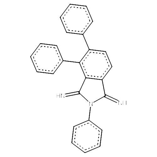 N=C1c2ccc(-c3ccccc3)c(-c3ccccc3)c2C(=N)N1c1ccccc1